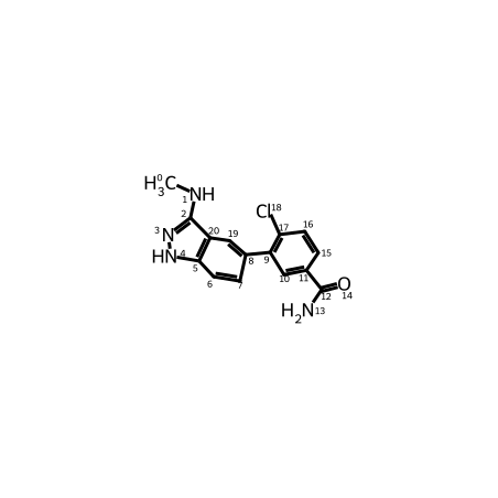 CNc1n[nH]c2ccc(-c3cc(C(N)=O)ccc3Cl)cc12